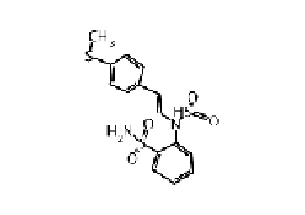 CSc1ccc(C=CN(c2ccccc2S(N)(=O)=O)[SH](=O)=O)cc1